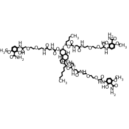 CCCCCC[C@](C)(OC(=O)NCC(=O)NCCOCCOCC(=O)Nc1ccc(OC)c(C(N)=O)c1O)[C@H]1CC[C@H]2[C@@H]3C[C@H](OC(=O)NCC(=O)NCCOCCOCC(=O)Nc4ccc(OC)c(C(N)=O)c4O)[C@@H](C[C@H](CCCC)OC(=O)NCC(=O)NCCOCCOCC(=O)Nc4ccc(OC)c(C(N)=O)c4O)C[C@H]3CC[C@@]21C